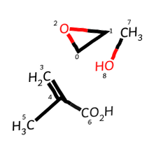 C1CO1.C=C(C)C(=O)O.CO